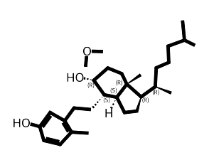 COC.Cc1ccc(O)cc1CC[C@@H]1[C@H](O)CC[C@]2(C)[C@@H]([C@H](C)CCCC(C)C)CC[C@@H]12